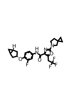 O=C(Nc1ccc(O[C@@H]2CC3C[C@@H]3C2)c(F)c1)c1nc(N2CCC3(CC3)C2)oc1CC(F)(F)F